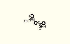 CC(C)(C)CNc1ncccc1CNc1cccc(Oc2cc(=O)[nH]c3ccccc23)c1